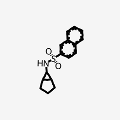 O=S(=O)(NC1C2CCCC21)c1ccc2ccccc2c1